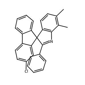 Cc1ccc2c(c1C)N=C(c1ccccc1)C21c2ccccc2-c2ccc(Cl)cc21